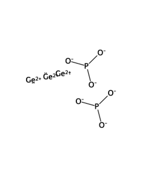 [Ge+2].[Ge+2].[Ge+2].[O-]P([O-])[O-].[O-]P([O-])[O-]